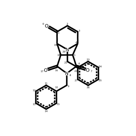 O=C1C=CC2C3C(=O)N(Cc4ccccc4)C(=O)C3C1N2Cc1ccccc1